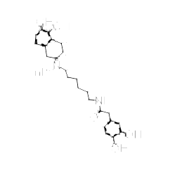 CCCN(CCCCCCNC(=O)Cc1ccc(O)c(O)c1)[C@H]1CCc2c(ccc(O)c2O)C1